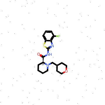 O=C(Nc1nc2c(F)cccc2s1)[C@@H]1CCCCN1CC1CCOCC1